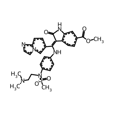 COC(=O)c1ccc2c(c1)NC(=O)C2=C(Nc1ccc(N(CCN(C)C)S(C)(=O)=O)cc1)c1ccc2nccn2c1